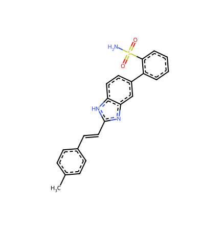 Cc1ccc(/C=C/c2nc3cc(-c4ccccc4S(N)(=O)=O)ccc3[nH]2)cc1